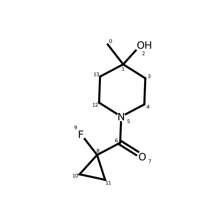 CC1(O)CCN(C(=O)C2(F)CC2)CC1